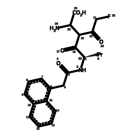 CC(C)[C@H](NC(=O)Cc1cccc2ccccc12)C(=O)C(C(=O)CF)C(N)C(=O)O